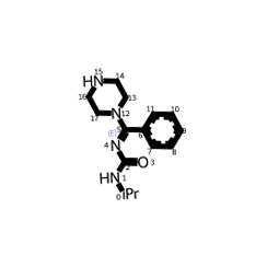 CC(C)NC(=O)/N=C(\c1ccccc1)N1CCNCC1